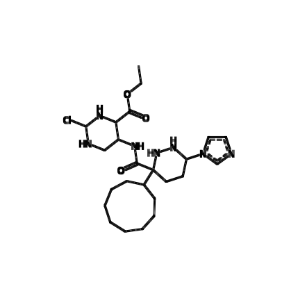 CCOC(=O)C1NC(Cl)NCC1NC(=O)C1(C2CCCCCCCC2)CCC(n2ccnc2)NN1